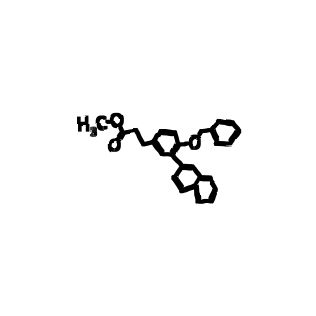 COC(=O)CCc1ccc(OCc2ccccc2)c(-c2ccc3ccccc3c2)c1